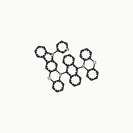 c1cncc(-n2c3ccccc3c3cc4c(cc32)N(c2c3ccccc3c(N3c5ccccc5Oc5ccccc53)c3ccccc23)c2ccccc2O4)c1